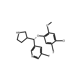 COc1cc(Cl)c(F)cc1O[C@H](c1cncc(F)c1)C1CCNC1